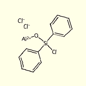 [Al+2][O][Si](Cl)(c1ccccc1)c1ccccc1.[Cl-].[Cl-]